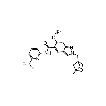 CC(C)Oc1cc2nn(CC34COC(C)(C3)C4)cc2cc1C(=O)Nc1cccc(C(F)F)n1